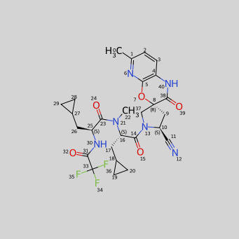 Cc1ccc2c(n1)O[C@@]1(C[C@@H](C#N)N(C(=O)[C@H](CC3CC3)N(C)C(=O)[C@H](CC3CC3)NC(=O)C(F)(F)F)C1)C(=O)N2